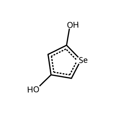 Oc1c[se]c(O)c1